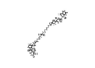 O=C(CCCCCCCCOc1ccc(N2C[C@H]3C[C@@H]2CN3/C=C/C(=O)c2ccccc2O)nc1)NCCOCCOCCNc1cccc2c1C(=O)N(C1CCC(=O)NC1=O)C2=O